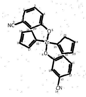 N#Cc1cccc([O][Zr]([O]c2cccc(C#N)c2)([C]2=CC=CC2)[C]2=CC=CC2)c1